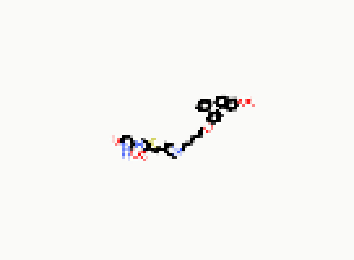 O=C1CCC(N2Cc3sc(C4CCN(CCCCCCOc5ccc([C@@H]6c7ccc(O)cc7CC[C@@H]6c6ccccc6)cc5)CC4)cc3C2=O)C(=O)N1